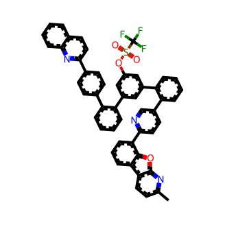 Cc1ccc2c(n1)oc1c(-c3ccc(-c4ccccc4-c4cc(OS(=O)(=O)C(F)(F)F)cc(-c5ccccc5-c5ccc(-c6ccc7ccccc7n6)cc5)c4)cn3)cccc12